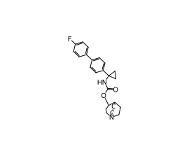 O=C(NC1(c2ccc(-c3ccc(F)cc3)cc2)CC1)OC1CCN2CCC1CC2